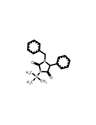 C[Si](C)(C)N1C(=O)C(c2ccccc2)N(Cc2ccccc2)C1=O